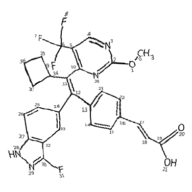 COc1ncc(C(F)(F)F)c(/C(=C(\c2ccc(/C=C/C(=O)O)cc2)c2ccc3[nH]nc(F)c3c2)C2CCC2)n1